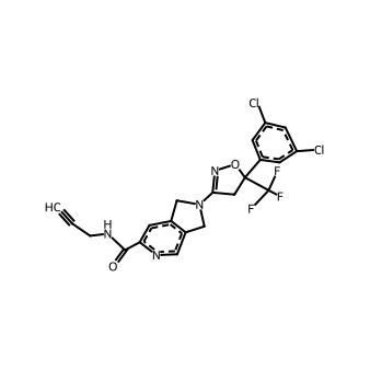 C#CCNC(=O)c1cc2c(cn1)CN(C1=NOC(c3cc(Cl)cc(Cl)c3)(C(F)(F)F)C1)C2